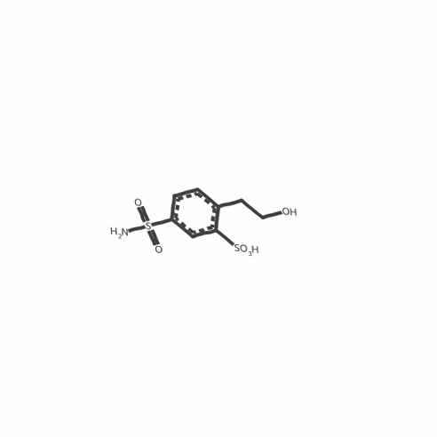 NS(=O)(=O)c1ccc(CCO)c(S(=O)(=O)O)c1